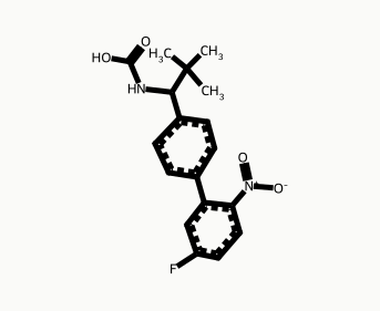 CC(C)(C)C(NC(=O)O)c1ccc(-c2cc(F)ccc2[N+](=O)[O-])cc1